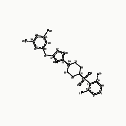 O=S(=O)(c1c(F)cccc1F)C1CCN(c2nc(Cc3cc(F)cc(F)c3)cs2)CC1